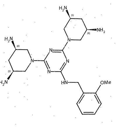 COc1ccccc1CNc1nc(N2C[C@H](N)C[C@H](N)C2)nc(N2C[C@H](N)C[C@H](N)C2)n1